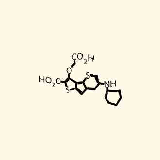 O=C(O)COc1c(C(=O)O)sc2cc3cc(NC4CCCCC4)csc-3c12